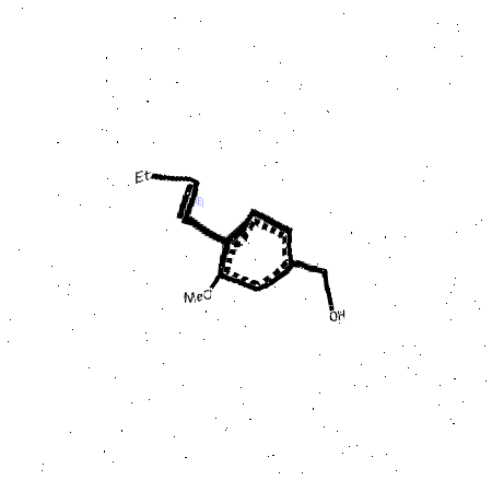 CC/C=C/c1ccc(CO)cc1OC